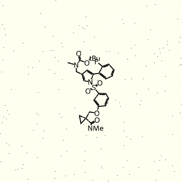 CNC(=O)C1(COc2cccc(S(=O)(=O)n3cc(CN(C)C(=O)OC(C)(C)C)cc3-c3ccccc3F)c2)CC1